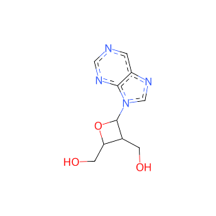 OCC1OC(n2cnc3cncnc32)C1CO